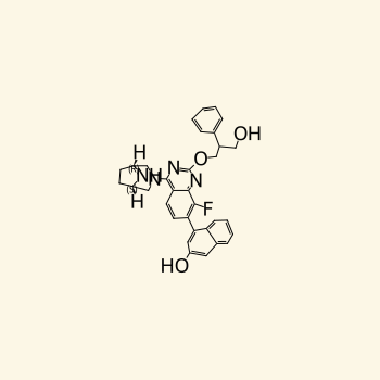 OCC(COc1nc(N2C[C@H]3CC[C@@H](C2)N3)c2ccc(-c3cc(O)cc4ccccc34)c(F)c2n1)c1ccccc1